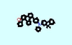 CC1(C)c2ccccc2-c2ccc(N(c3ccccc3)c3ccc(-c4cccc5c6ccc7oc8ccccc8c7c6c6ccccc6c45)cc3)cc21